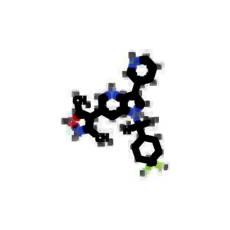 [2H]C([2H])(C1CCC(F)(F)CC1)n1cc(-c2cccnc2)c2ncc(-c3c(C)noc3C)cc21